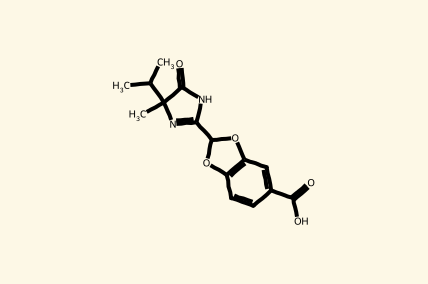 CC(C)C1(C)N=C(C2Oc3ccc(C(=O)O)cc3O2)NC1=O